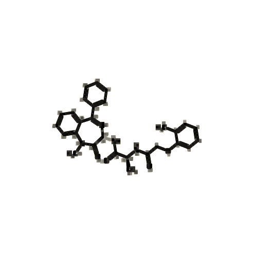 Cc1ccccc1OCC(=O)N[C@@H](C)C(=O)N[C@H]1N=C(c2ccccc2)c2ccccc2N(C)C1=O